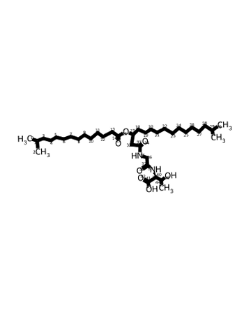 CC(C)CCCCCCCCCCCC(=O)OC(CCCCCCCCCCCC(C)C)CC(=O)NCC(=O)N[C@H](C(=O)O)C(C)O